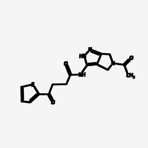 CC(=O)N1Cc2n[nH]c(NC(=O)CCC(=O)c3cccs3)c2C1